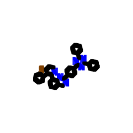 c1ccc(-c2nc(-c3ccccc3)nc(-c3ccc(-c4ncc5cccc(-c6nccc7sc8ccccc8c67)c5n4)cc3)n2)cc1